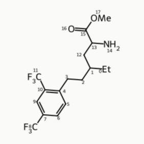 CCC(CCc1ccc(C(F)(F)F)cc1C(F)(F)F)CC(N)C(=O)OC